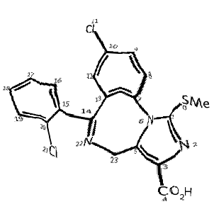 CSc1nc(C(=O)O)c2n1-c1ccc(Cl)cc1C(c1ccccc1Cl)=NC2